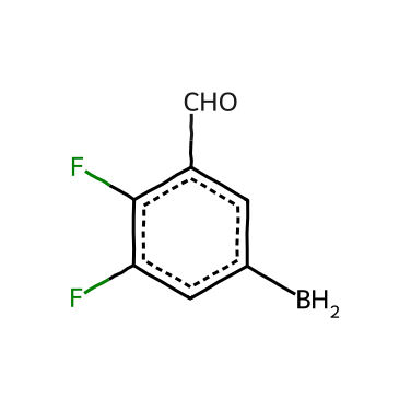 Bc1cc(F)c(F)c(C=O)c1